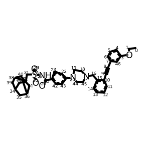 CCOc1cccc(C#Cc2ccccc2CN2CCN(c3ccc(C(=O)NS(=O)(=O)CC45CC6CC(CC(C6)C4)C5)cc3)CC2)c1